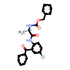 C[C@H](NC(=O)OCc1ccccc1)C(=O)Nc1ccc(Cl)cc1C(=O)c1ccccc1